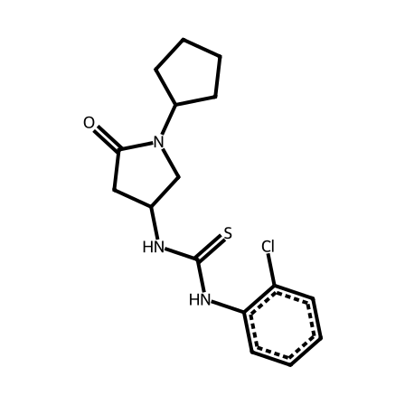 O=C1CC(NC(=S)Nc2ccccc2Cl)CN1C1CCCC1